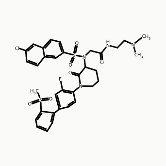 CN(C)CCNC(=O)CN(C1CCCN(c2ccc(-c3ccccc3S(C)(=O)=O)cc2F)C1=O)S(=O)(=O)c1ccc2cc(Cl)ccc2c1